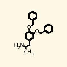 CC(N)Cc1ccc(OCc2ccccc2)c(OCc2ccccc2)c1